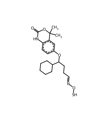 CC1(C)OC(=O)Nc2ccc(OC(CCC=NOS)C3CCCCC3)cc21